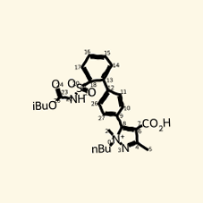 CCCC[N+]1(C)N=C(C)C(C(=O)O)=C1c1ccc(-c2ccccc2S(=O)(=O)NC(=O)OCC(C)C)cc1